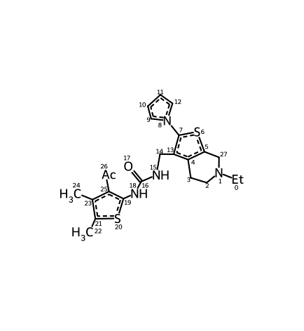 CCN1CCc2c(sc(-n3cccc3)c2CNC(=O)Nc2sc(C)c(C)c2C(C)=O)C1